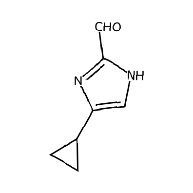 O=Cc1nc(C2CC2)c[nH]1